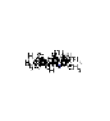 COc1ccc(/C=C\c2cc(OC)c(OC)c(OC)c2)c(NS(=O)(=O)c2cc(OC)c(OC)c(OC)c2)c1F